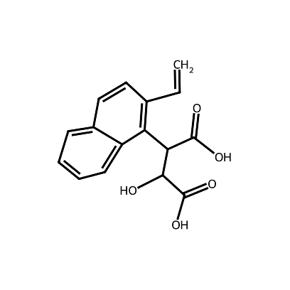 C=Cc1ccc2ccccc2c1C(C(=O)O)C(O)C(=O)O